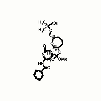 COC(C)(C)O[C@@H]1CCC[C@@H](CO[Si](C)(C)C(C)(C)C)O[C@H]1n1ccc(NC(=O)c2ccccc2)nc1=O